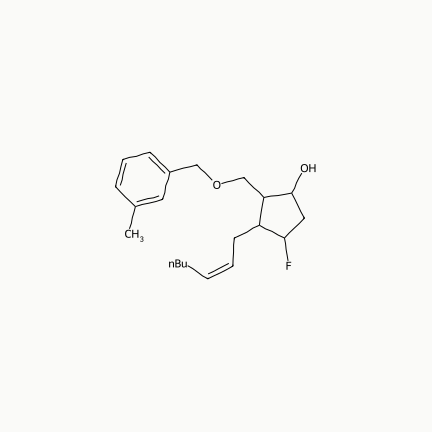 CCCC/C=C\CC1C(F)CC(O)C1COCc1cccc(C)c1